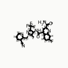 Cc1c(NC(=O)c2cc(C(N)=O)nc3cc(F)ccc23)c(C(F)(F)F)nn1Cc1ncccc1C#N